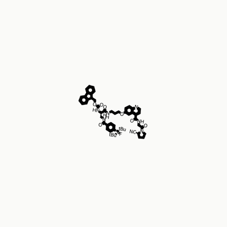 CC(C)(C)[Si](F)(c1ccc(C(=O)NC[C@@H](NC(=O)OCC2c3ccccc3-c3ccccc32)C(=O)NCCCOc2ccc3nccc(C(=O)NCC(=O)N4CCC[C@H]4C#N)c3c2)cc1)C(C)(C)C